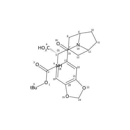 CC(C)(C)OC(=O)N[C@H](C(=O)O)C1CC2CCC(C1)N2C(=O)c1ccc2c(c1)OCO2